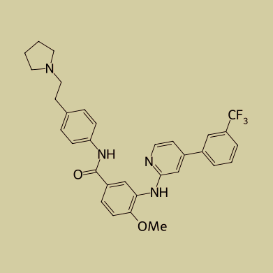 COc1ccc(C(=O)Nc2ccc(CCN3CCCC3)cc2)cc1Nc1cc(-c2cccc(C(F)(F)F)c2)ccn1